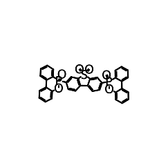 O=P1(c2ccc3c(c2)S(=O)(=O)c2cc(P4(=O)Oc5ccccc5-c5ccccc54)ccc2-3)Oc2ccccc2-c2ccccc21